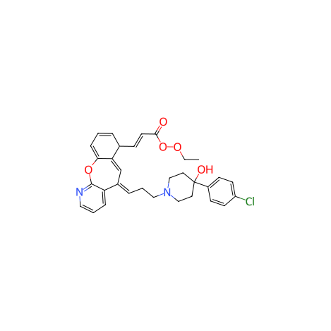 CCOOC(=O)C=CC1C=CC=C2Oc3ncccc3C(=CCCN3CCC(O)(c4ccc(Cl)cc4)CC3)C=C21